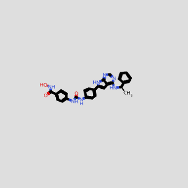 C[C@@H](Nc1ncnc2[nH]c(-c3ccc(NC(=O)Nc4ccc(C(=O)NO)cc4)cc3)cc12)c1ccccc1